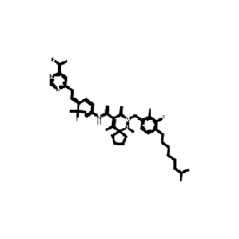 C=C(/C=C\C(=C/Cc1cc(C(C)F)ncn1)C(C)(C)F)NC(=C)C1=C(C)C2(CCCC2)N(C)N(Cc2ccc(CCCCCCC(C)C)c(F)c2C)C1=C